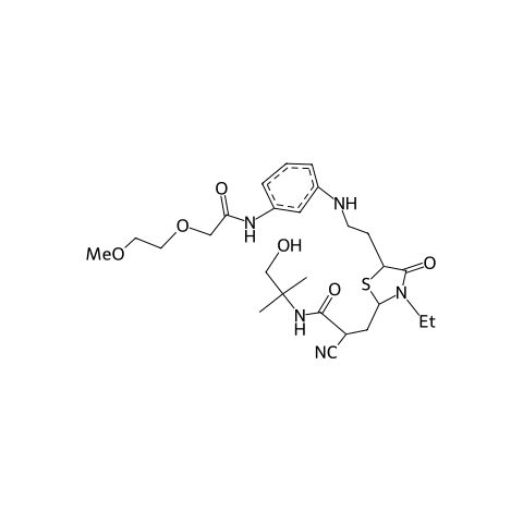 CCN1C(=O)C(CCNc2cccc(NC(=O)COCCOC)c2)SC1CC(C#N)C(=O)NC(C)(C)CO